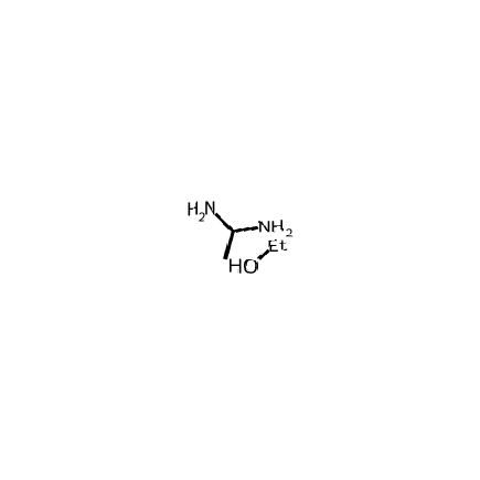 CC(N)N.CCO